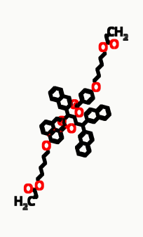 C=CC(=O)OCCCCCCOc1ccc(C(=O)O[C@H](C(c2ccc3ccccc3c2)c2ccc3ccccc3c2)[C@H](OC(=O)c2ccc(OCCCCCCOC(=O)C=C)cc2)C(c2ccc3ccccc3c2)c2ccc3ccccc3c2)cc1